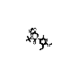 CCc1cc(N(Cc2nnco2)C(=O)OC(C)(C)C)c(C)nc1OC